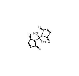 O=C1C=CC(=O)N1C(O)(O)N1C(=O)C=CC1=O